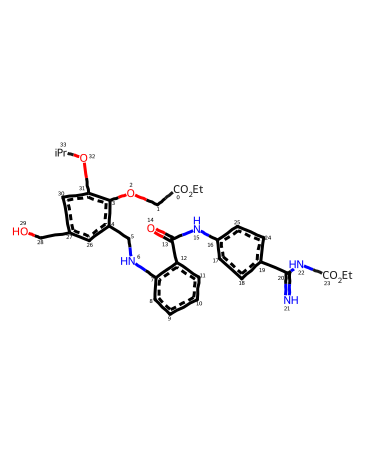 CCOC(=O)COc1c(CNc2ccccc2C(=O)Nc2ccc(C(=N)NC(=O)OCC)cc2)cc(CO)cc1OC(C)C